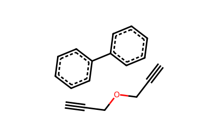 C#CCOCC#C.c1ccc(-c2ccccc2)cc1